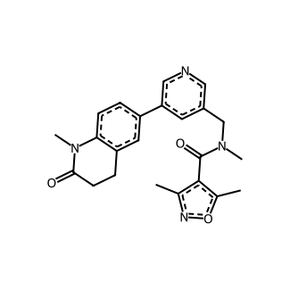 Cc1noc(C)c1C(=O)N(C)Cc1cncc(-c2ccc3c(c2)CCC(=O)N3C)c1